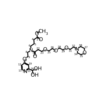 COC(=O)CCCN(CCOc1ccnc(C(O)O)c1)C(=O)CCOCCOCCOCCN1CCOCC1